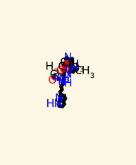 CC(=O)NCN(CCCCc1ccc2c(n1)NCCC2)CCC(Nc1cc(C)nc(-c2ccncc2)n1)C(=O)OC(C)(C)C